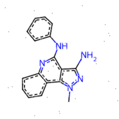 Cn1nc(N)c2c(Nc3ccccc3)nc3ccccc3c21